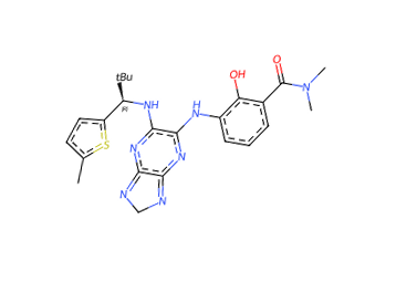 Cc1ccc([C@H](Nc2nc3c(nc2Nc2cccc(C(=O)N(C)C)c2O)=NCN=3)C(C)(C)C)s1